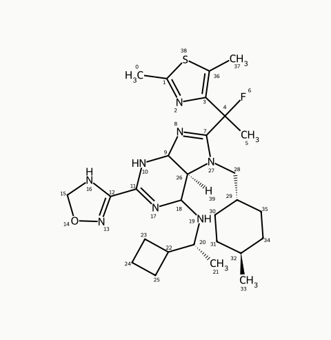 Cc1nc(C(C)(F)C2=NC3NC(C4=NOCN4)=NC(N[C@H](C)C4CCC4)[C@@H]3N2C[C@H]2CC[C@H](C)CC2)c(C)s1